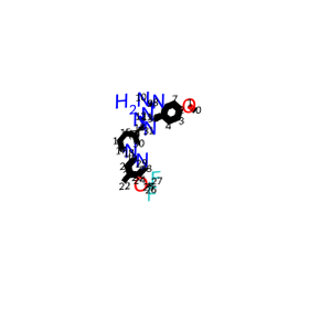 COc1ccc2c(c1)nc(N)n1nc([C@@H]3CCCN(c4cc(C)c(OC(F)F)cn4)C3)nc21